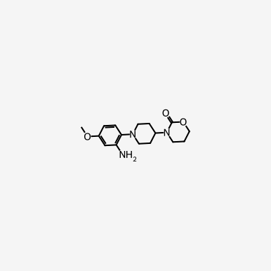 COc1ccc(N2CCC(N3CCCOC3=O)CC2)c(N)c1